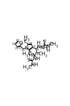 CNC(=S)NNC(C)C(NNC(=S)NC)c1cc(C)n(Cc2ccco2)c1C